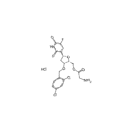 Cl.NCC(=O)OC[C@@H]1O[C@H](n2cc(F)c(=O)[nH]c2=O)CC1OCc1ccc(Cl)cc1Cl